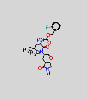 CC(C)CC(NC(=O)OCc1ccccc1F)C(=O)NC(C=O)CC1CCNC1=O